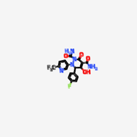 NC(=O)C1=C(O)C(c2ccc(F)cc2)N(c2ccc(C(F)(F)F)nc2)N(C(N)=O)C1=O